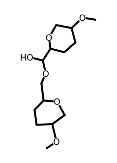 COC1CCC(COC(O)C2CCC(OC)CO2)OC1